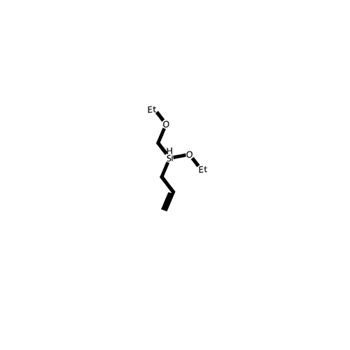 C=CC[SiH](COCC)OCC